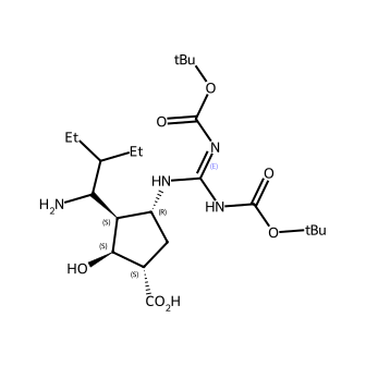 CCC(CC)C(N)[C@@H]1[C@H](O)[C@@H](C(=O)O)C[C@H]1N/C(=N\C(=O)OC(C)(C)C)NC(=O)OC(C)(C)C